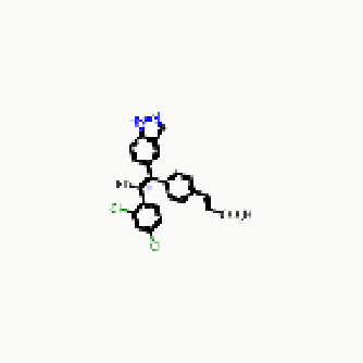 CC/C(=C(/c1ccc(C=CC(=O)O)cc1)c1ccc2[nH]ncc2c1)c1ccc(Cl)cc1Cl